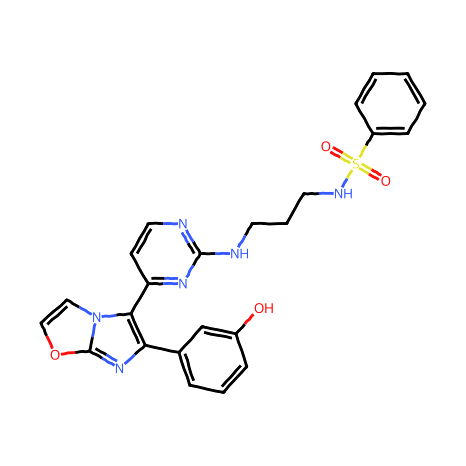 O=S(=O)(NCCCNc1nccc(-c2c(-c3cccc(O)c3)nc3occn23)n1)c1ccccc1